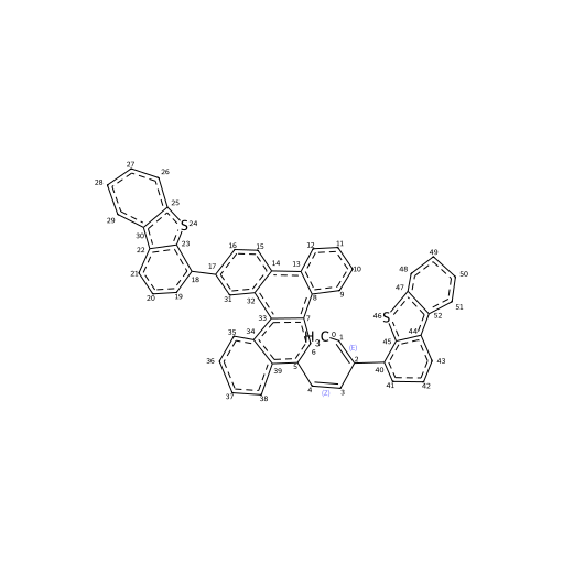 C/C=C(\C=C/c1cc2c3ccccc3c3ccc(-c4cccc5c4sc4ccccc45)cc3c2c2ccccc12)c1cccc2c1sc1ccccc12